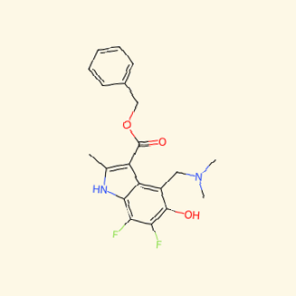 Cc1[nH]c2c(F)c(F)c(O)c(CN(C)C)c2c1C(=O)OCc1ccccc1